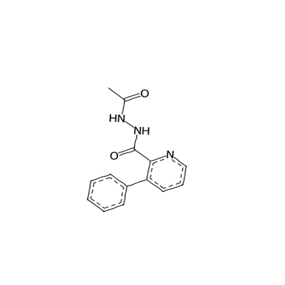 CC(=O)NNC(=O)c1ncccc1-c1ccccc1